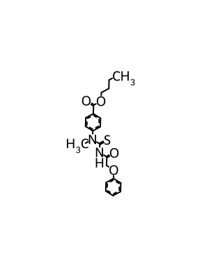 CCCCOC(=O)c1ccc(N(C)C(=S)NC(=O)COc2ccccc2)cc1